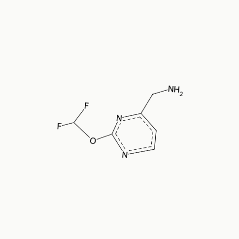 NCc1ccnc(OC(F)F)n1